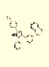 Clc1ccc(-c2nc(-c3cccc(-c4cccc5ccccc45)c3)c(-c3ccncc3)[nH]2)cc1